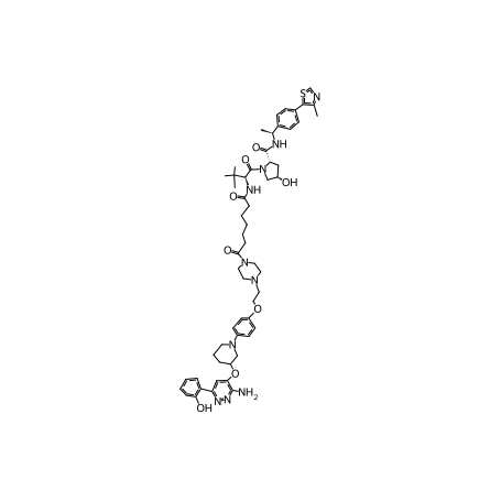 Cc1ncsc1-c1ccc([C@H](C)NC(=O)[C@@H]2C[C@@H](O)CN2C(=O)[C@@H](NC(=O)CCCCCC(=O)N2CCN(CCOc3ccc(N4CCCC(Oc5cc(-c6ccccc6O)nnc5N)C4)cc3)CC2)C(C)(C)C)cc1